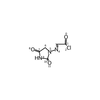 O=C(Cl)C=NN1CC(=O)NC1=O